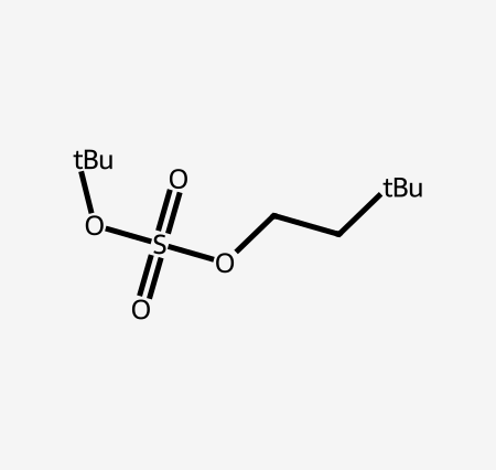 CC(C)(C)CCOS(=O)(=O)OC(C)(C)C